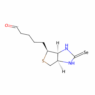 O=[C]CCCC[C@@H]1SC[C@@H]2NC(=[Se])N[C@@H]21